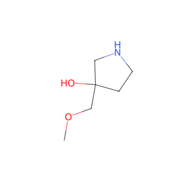 COCC1(O)CCNC1